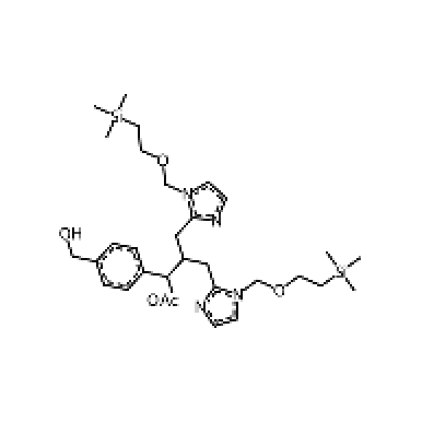 CC(=O)OC(c1ccc(CO)cc1)C(Cc1nccn1COCC[Si](C)(C)C)Cc1nccn1COCC[Si](C)(C)C